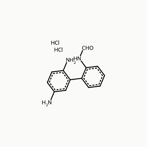 Cl.Cl.Nc1ccc(N)c(-c2ccccc2NC=O)c1